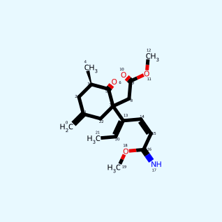 C=C1C[C@@H](C)C(=O)C(CC(=O)OC)(C(/C=C\C(=N)OC)=C\C)C1